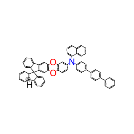 C1=CC2[C@H](C=C1)c1ccccc1C21c2ccccc2-c2cc3c(cc21)Oc1ccc(N(c2ccc(-c4ccc(-c5ccccc5)cc4)cc2)c2cccc4ccccc24)cc1O3